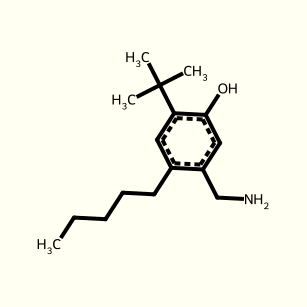 CCCCCc1cc(C(C)(C)C)c(O)cc1CN